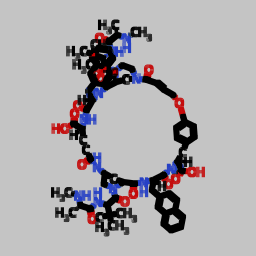 CN[C@@H](C)C(=O)NC(C(=O)N1CC2CC1C(=O)N[C@@H](Cc1ccc3ccccc3c1)C(=O)N[C@H](C(=O)O)Cc1ccc(cc1)OC/C=C/C(=O)N1CCN(C(=O)[C@@H](NC(=O)[C@H](C)NC)C(C)(C)C)[C@@H](C1)C(=O)N[C@@H](Cc1ccc3ccccc3c1)C(=O)N[C@H](C(=O)O)CCC(=O)N2)C(C)(C)C